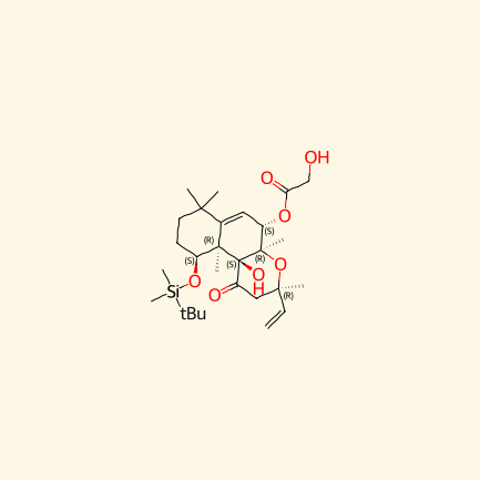 C=C[C@@]1(C)CC(=O)[C@@]2(O)[C@](C)(O1)[C@@H](OC(=O)CO)C=C1C(C)(C)CC[C@H](O[Si](C)(C)C(C)(C)C)[C@@]12C